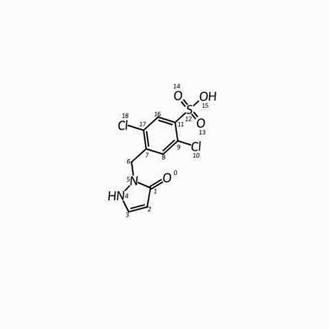 O=c1cc[nH]n1Cc1cc(Cl)c(S(=O)(=O)O)cc1Cl